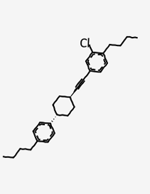 CCCCc1ccc([C@H]2CC[C@H](C#Cc3ccc(CCCC)c(Cl)c3)CC2)cc1